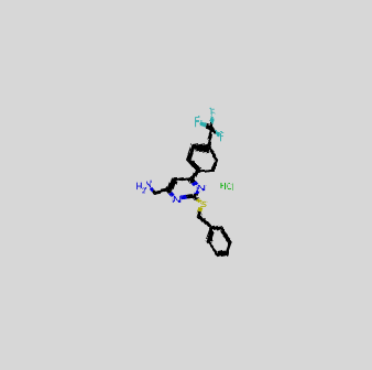 Cl.NCc1cc(-c2ccc(C(F)(F)F)cc2)nc(SCc2ccccc2)n1